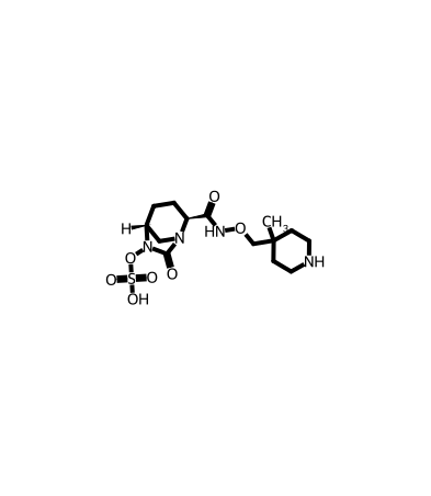 CC1(CONC(=O)[C@@H]2CC[C@@H]3CN2C(=O)N3OS(=O)(=O)O)CCNCC1